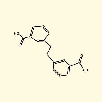 O=C(O)c1cccc(CCc2cccc(C(=O)O)c2)c1